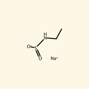 CCNS(=O)[O-].[Na+]